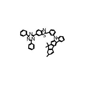 CC1C=CC2=C(C1)C(C)(C)c1cc3c(cc12)c1ccccc1n3-c1cccc(-c2nc3ccc(-c4nc(-c5ccccc5)nc(-c5ccccc5)n4)cc3s2)c1